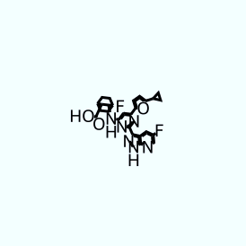 O=C(O)C1C2CCC(CC2)C1Nc1nc(-c2n[nH]c3ncc(F)cc23)nc(-c2ccc(C3CC3)o2)c1F